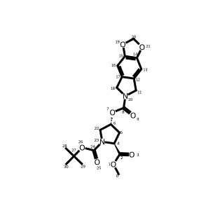 COC(=O)[C@@H]1C[C@@H](OC(=O)N2Cc3cc4c(cc3C2)OCO4)CN1C(=O)OC(C)(C)C